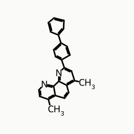 Cc1ccnc2c1ccc1c(C)cc(-c3ccc(-c4ccccc4)cc3)nc12